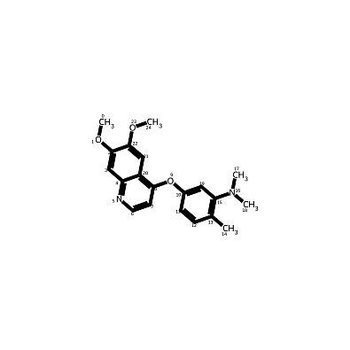 COc1cc2nccc(Oc3ccc(C)c(N(C)C)c3)c2cc1OC